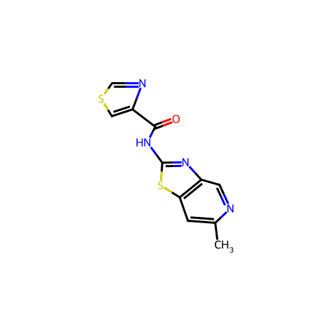 Cc1cc2sc(NC(=O)c3cscn3)nc2cn1